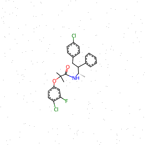 C[C@H](NC(=O)C(C)(C)Oc1ccc(Cl)c(F)c1)C(Cc1ccc(Cl)cc1)c1ccccc1